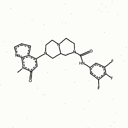 Cn1c(=O)cc(N2CCN3CCN(C(=O)Nc4cc(F)c(F)c(F)c4)CC3C2)c2cccnc21